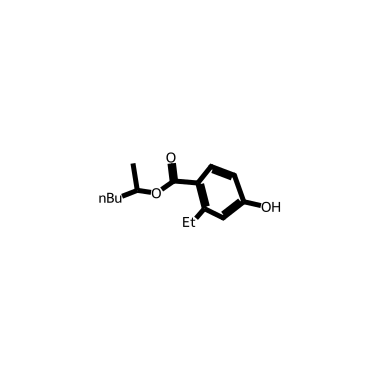 CCCCC(C)OC(=O)c1ccc(O)cc1CC